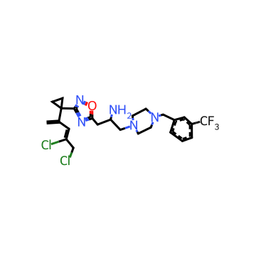 C=C(C=C(Cl)CCl)C1(c2noc(CC(N)CN3CCN(Cc4cccc(C(F)(F)F)c4)CC3)n2)CC1